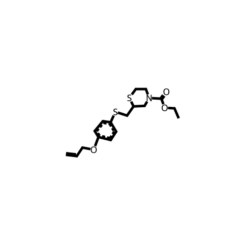 C=CCOc1ccc(SCC2CN(C(=O)OCC)CCS2)cc1